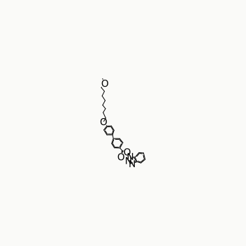 COCCCCCCCCOc1ccc(-c2ccc(C(=O)On3nnc4ccccc43)cc2)cc1